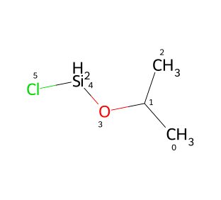 CC(C)O[SiH2]Cl